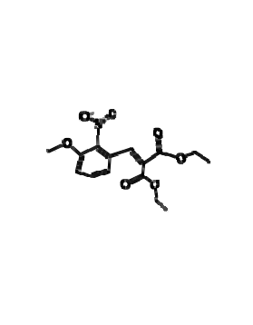 CCOC(=O)C(=Cc1cccc(OC)c1[N+](=O)[O-])C(=O)OCC